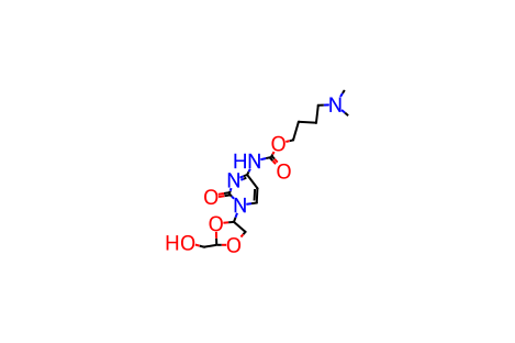 CN(C)CCCCOC(=O)Nc1ccn(C2COC(CO)O2)c(=O)n1